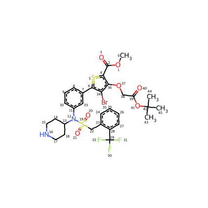 COC(=O)c1sc(-c2cccc(N(C3CCNCC3)S(=O)(=O)Cc3ccccc3C(F)(F)F)c2)c(Br)c1OCC(=O)OC(C)(C)C